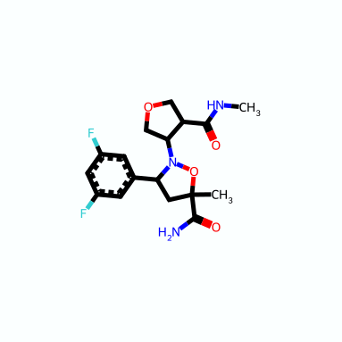 CNC(=O)C1COCC1N1OC(C)(C(N)=O)CC1c1cc(F)cc(F)c1